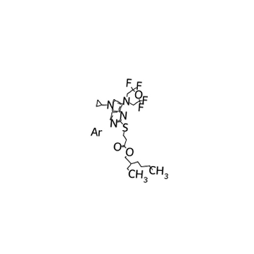 CCCCC(CC)COC(=O)CCSc1ncc2c(n1)c(N1CC(F)(F)OC(F)(F)C1)cn2C1CC1.[Ar]